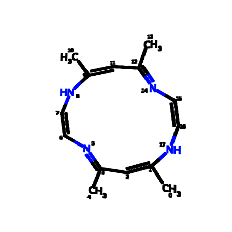 C/C1=C/C(C)=N/C=C\N\C(C)=C/C(C)=N/C=C\N1